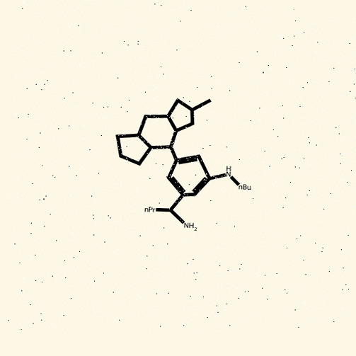 CCCCNc1cc(C(N)CCC)cc(C2C3CCCC3CC3CC(C)CC32)c1